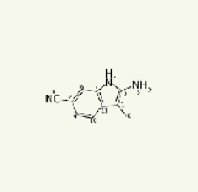 Cc1c(N)[nH]c2cc(C#N)ccc12